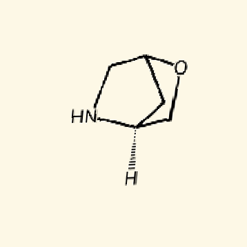 C1N[C@@H]2COC1C2